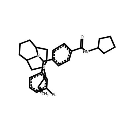 C=CCN1CCC2CCCC(C1)N2C(c1ccc(C(=O)NC2CCCC2)cc1)c1cccc(CC)c1